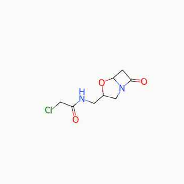 O=C(CCl)NCC1CN2C(=O)CC2O1